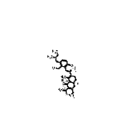 C=C(N)C1=C(CC)C[C@@H]2CCC(C(=C)Cc3c(C)ccc(CN(C)CC)c3CC)=C(C)[C@]2(C)C1=C